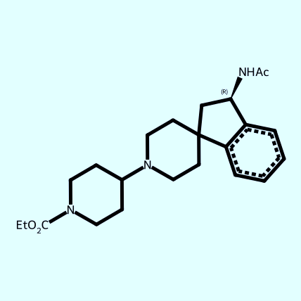 CCOC(=O)N1CCC(N2CCC3(CC2)C[C@@H](NC(C)=O)c2ccccc23)CC1